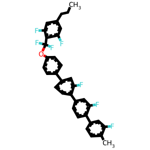 CCCc1cc(F)c(C(F)(F)Oc2ccc(-c3ccc(-c4ccc(-c5ccc(C)c(F)c5)c(F)c4)c(F)c3)cc2)c(F)c1